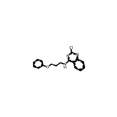 Clc1nc(NCCCOc2ccccc2)c2ccccc2n1